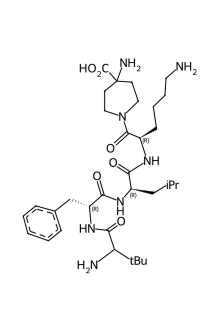 CC(C)C[C@@H](NC(=O)[C@@H](Cc1ccccc1)NC(=O)C(N)C(C)(C)C)C(=O)N[C@H](CCCCN)C(=O)N1CCC(N)(C(=O)O)CC1